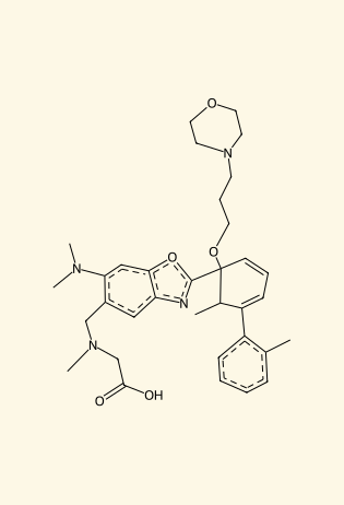 Cc1ccccc1C1=CC=CC(OCCCN2CCOCC2)(c2nc3cc(CN(C)CC(=O)O)c(N(C)C)cc3o2)C1C